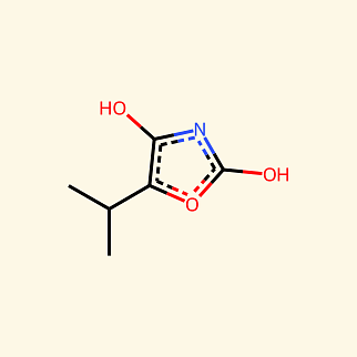 CC(C)c1oc(O)nc1O